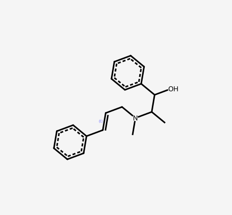 CC(C(O)c1ccccc1)N(C)C/C=C/c1ccccc1